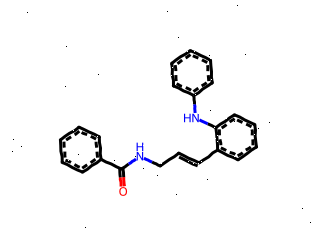 O=C(NCC=Cc1ccccc1Nc1ccccc1)c1ccccc1